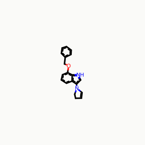 C1=CN(c2c[nH]c3c(OCc4ccccc4)cccc23)CC1